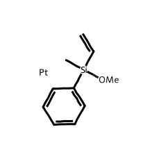 C=C[Si](C)(OC)c1ccccc1.[Pt]